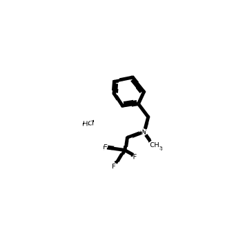 CN(Cc1ccccc1)CC(F)(F)F.Cl